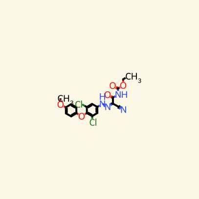 CCOC(=O)NC(=O)/C(C#N)=N\Nc1cc(Cl)c(Oc2ccc(OC)cc2)c(Cl)c1